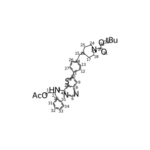 CC(=O)OCC(Nc1ncnc2cc(-c3ccc(CC4CCN(C(=O)OC(C)(C)C)CC4)cc3)sc12)c1ccccc1